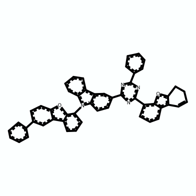 C1=Cc2c(oc3c(-c4nc(-c5ccccc5)nc(-c5ccc6c(c5)c5ccccc5n6-c5cccc6c5oc5ccc(-c7ccccc7)cc56)n4)cccc23)CC1